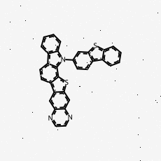 c1ccc2c(c1)sc1cc(-n3c4ccccc4c4ccc5c6cc7nccnc7cc6sc5c43)ccc12